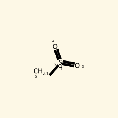 C.C[SH](=O)=O